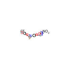 O=[N+]([O-])c1cn2c(n1)OC(COc1ccc(-c3csc(COc4ccc(OC(F)(F)F)cc4)n3)cc1)CC2